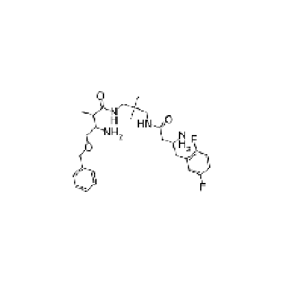 C[C@@H](C(=O)NCC(C)(C)CNC(=O)CC(N)Cc1cc(F)ccc1F)C(N)COCc1ccccc1